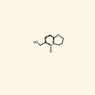 [O-][n+]1c(CO)ccc2c1CCCO2